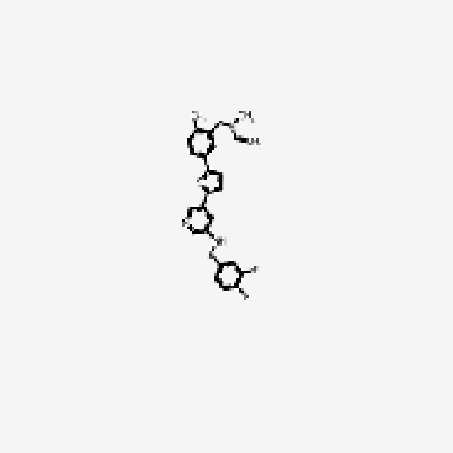 C=CN(C)Cc1cc(-c2ccc(-c3cncc(NSc4ccc(F)c(F)c4)c3)s2)ccc1C